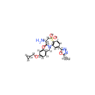 CC(C)(C)c1nnc(-c2ccc3c(c2)N(Cc2ccc(OCC4CC4)cc2)C(=O)[C@@H](N)CS3(=O)=O)o1